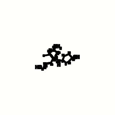 Cc1nc(N)nc(N[C@H]2CC[C@H](O)CC2)c1C=CC(=O)O